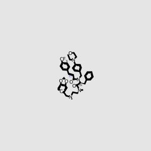 CN(CCN(C)C(=O)[C@H](Cc1ccccc1)N(Cc1ccc(N2CCOCC2)cc1)C(=O)/C=C/c1ccc(C(F)(F)F)cc1)Cc1ccc2c(c1)OCO2